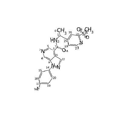 CC(NC(=O)c1cncc2c1cnn2-c1ccc(F)cc1)c1ccnc(S(C)(=O)=O)c1